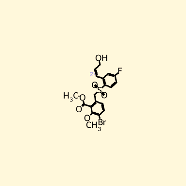 COC(=O)c1c(CS(=O)(=O)c2ccc(F)cc2/C=C\CO)ccc(Br)c1OC